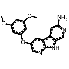 COc1cc(OC)cc(Oc2cnc3[nH]c4cnc(N)cc4c3c2)c1